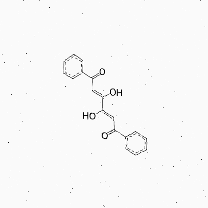 O=C(C=C(O)C(O)=CC(=O)c1ccccc1)c1ccccc1